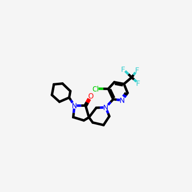 O=C1N(C2CCCCC2)CCC12CCCN(c1ncc(C(F)(F)F)cc1Cl)C2